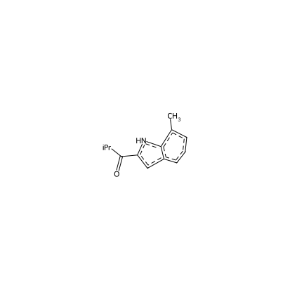 Cc1cccc2cc(C(=O)C(C)C)[nH]c12